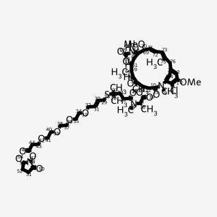 COc1cc2cc(c1Cl)N(C)C(=O)C[C@H](OC(=O)[C@H](C)N(C)C(=O)CCC(C)(C)SC/C=C/COCCOCCOCCOCCC(=O)ON1C(=O)CCC1=O)[C@]1(C)O[C@H]1[C@H](C)[C@@H]1C[C@@](O)(NC(=O)O1)[C@H](OC)/C=C/C=C(\C)C2